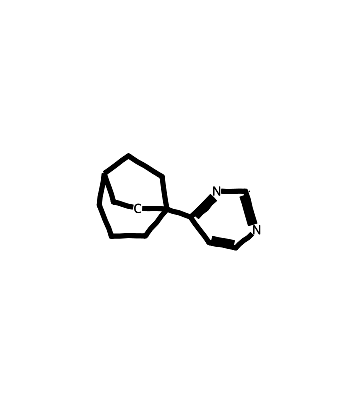 [c]1nccc(C23CCCC(CC2)CC3)n1